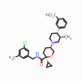 C[C@H]1CN([C@@H]2CC[C@@](C(=O)NCc3cc(Cl)cc(C(F)(F)F)c3)(C3CC3)OC2)CC[C@@H]1c1cccc(C(=O)O)c1